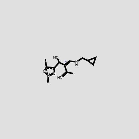 CC(=N)/C(=C\NCC1CC1)C(O)c1nn(C)nc1I